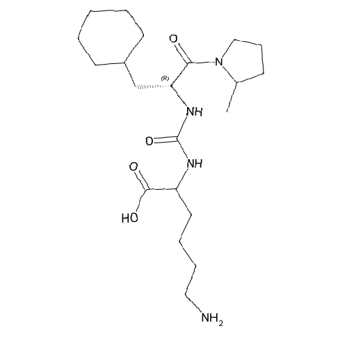 CC1CCCN1C(=O)[C@@H](CC1CCCCC1)NC(=O)NC(CCCCN)C(=O)O